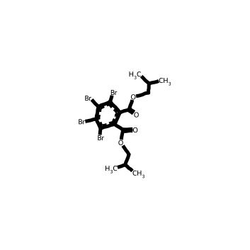 CC(C)COC(=O)c1c(Br)c(Br)c(Br)c(Br)c1C(=O)OCC(C)C